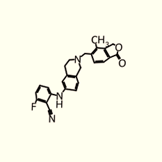 Cc1c(CN2CCc3cc(Nc4cccc(F)c4C#N)ccc3C2)ccc2c1COC2=O